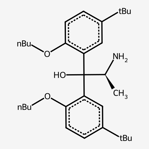 CCCCOc1ccc(C(C)(C)C)cc1C(O)(c1cc(C(C)(C)C)ccc1OCCCC)[C@H](C)N